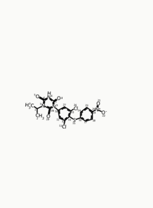 CC(C)n1c(=O)[nH]c(=O)n(-c2cc(Cl)c(Sc3ccc([N+](=O)[O-])cc3)c(Cl)c2)c1=O